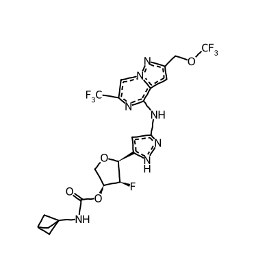 O=C(NC12CC(C1)C2)O[C@H]1CO[C@@H](c2cc(Nc3nc(C(F)(F)F)cn4nc(COC(F)(F)F)cc34)n[nH]2)[C@H]1F